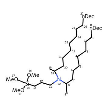 CCCCCCCCCCCCCCCCCC(C)N(CCC[Si](OC)(OC)OC)C(C)CCCCCCCCCCCCCCCCC